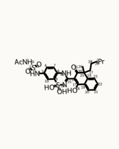 CC(=O)NS(=O)(=O)Nc1ccc2c(c1)S(O)(O)N=C(C1=C(O)c3ccccc3C(C)(CCC(C)C)C1=O)N2